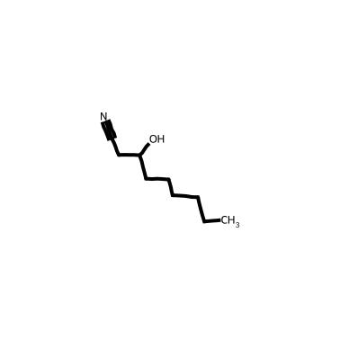 CCCCCCC(O)CC#N